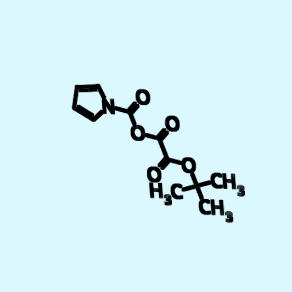 CC(C)(C)OC(=O)C(=O)OC(=O)n1cccc1